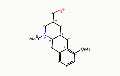 COc1cccc2c1CC1CC(CO)CN(OC)C1C2